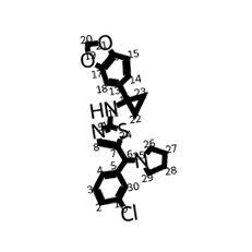 Clc1cccc(C(c2cnc(NC3(c4ccc5c(c4)OCO5)CC3)s2)N2CCCC2)c1